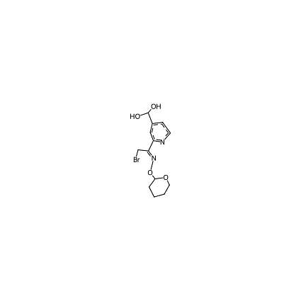 OC(O)c1ccnc(/C(CBr)=N/OC2CCCCO2)c1